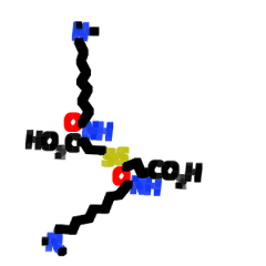 CN(C)CCCCCCCCC(=O)NC(CCSSCCC(NC(=O)CCCCCCCCN(C)C)C(=O)O)C(=O)O